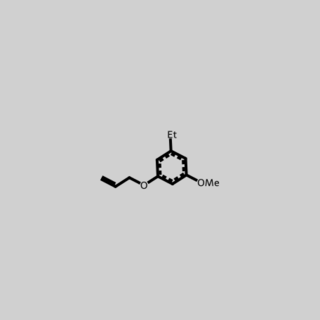 C=CCOc1cc(CC)cc(OC)c1